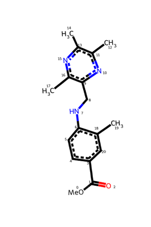 COC(=O)c1ccc(NCc2nc(C)c(C)nc2C)c(C)c1